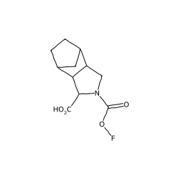 O=C(O)C1C2C3CCC(C3)C2CN1C(=O)OF